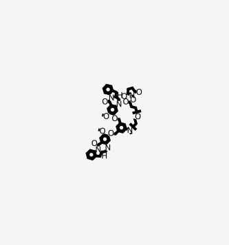 COc1cc2c(cc1OCc1cc(COc3cc4c(cc3OC)C(=O)N3c5ccccc5C[C@H]3C=N4)cc(N(C)C(C)(C)CCOC(C)(C)CCC(=O)ON3C(=O)CCC3=O)c1)N=C[C@@H]1Cc3ccccc3N1C2=O